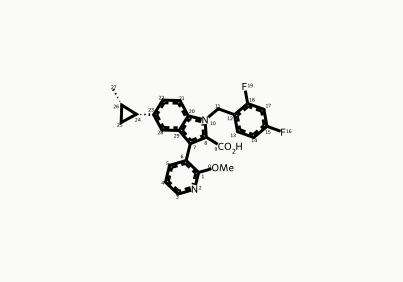 COc1ncccc1-c1c(C(=O)O)n(Cc2ccc(F)cc2F)c2ccc([C@@H]3C[C@@H]3C)cc12